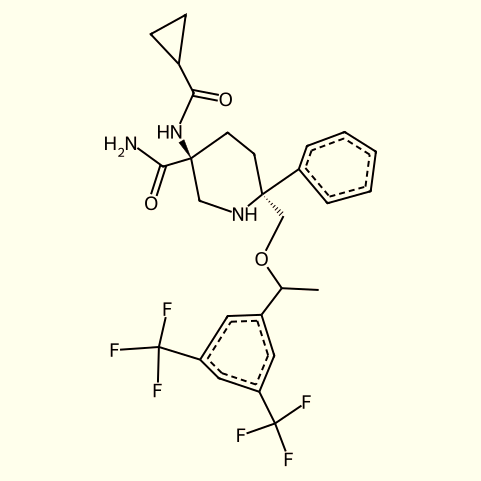 CC(OC[C@@]1(c2ccccc2)CC[C@@](NC(=O)C2CC2)(C(N)=O)CN1)c1cc(C(F)(F)F)cc(C(F)(F)F)c1